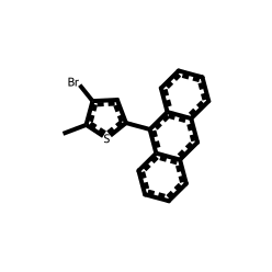 Cc1sc(-c2c3ccccc3cc3ccccc23)cc1Br